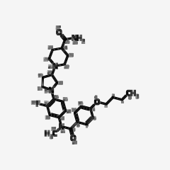 CCCCOc1ccc(C(=O)N(C)c2ccc(N3CCC(N4CCC(C(N)=O)CC4)C3)c(F)c2)cc1